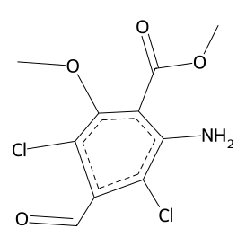 COC(=O)c1c(N)c(Cl)c(C=O)c(Cl)c1OC